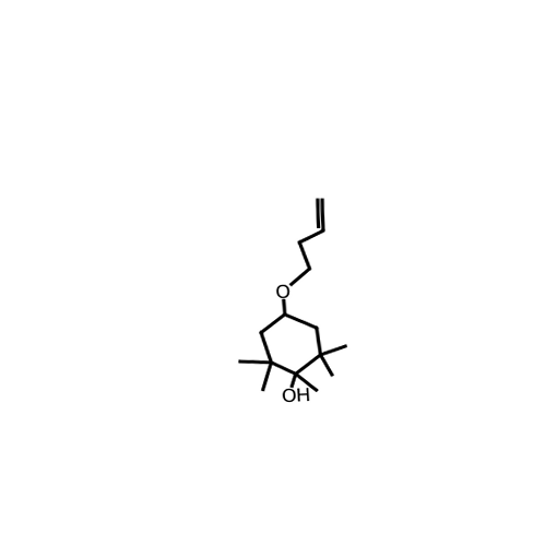 C=CCCOC1CC(C)(C)C(C)(O)C(C)(C)C1